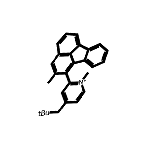 Cc1cc2cccc3c2c(c1-c1cc(CC(C)(C)C)cc[n+]1C)-c1ccccc1-3